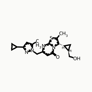 Cc1sc2nc(Cn3nc(C4CC4)cc3C)cc(=O)n2c1[C@@H]1C[C@H]1CO